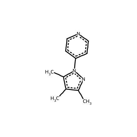 Cc1nn(-c2ccncc2)c(C)c1C